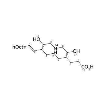 CCCCCCCC/C=C/CCCCCCCC(=O)O.OCCNCCO